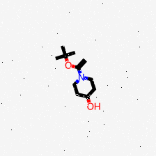 C=C(OC(C)(C)C)N1CCC(O)CC1